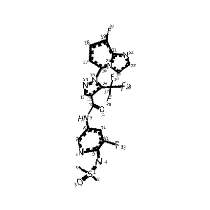 CS(C)(=O)=Nc1ncc(NC(=O)c2cnn(-c3ccc(F)c4nccn34)c2C(F)(F)F)cc1F